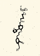 CC(C)Cc1ccc(CCCOc2ccc(CNCCCO[PH](=O)O)cc2-c2cccs2)cc1Br